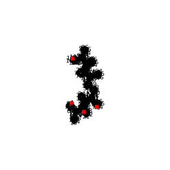 CC1CC=CC=C1c1nc(-c2ccccc2)nc(-n2c3ccccc3c3cc4c(cc32)c2ccccc2n4-c2nc(-c3ccccc3)nc(-c3cccc(-c4cccc(-c5cc(-c6ccccc6)nc(-n6c7ccccc7c7cc8c(cc76)c6ccccc6n8-c6nc(-c7ccccc7)cc(-c7ccccc7)n6)n5)c4)c3)n2)n1